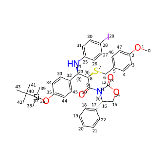 COc1ccc(CS[C@@H](C(=O)N2C(=O)OC[C@@H]2c2ccccc2)[C@H](Nc2ccc(I)cc2)c2ccc(O[Si](C)(C)C(C)(C)C)cc2)cc1